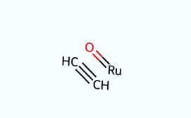 C#C.[O]=[Ru]